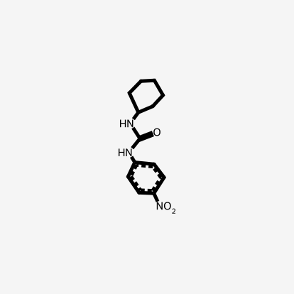 O=C(Nc1ccc([N+](=O)[O-])cc1)NC1CCCCC1